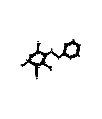 Cn1cc(Br)c(OCc2ccccc2)c(Br)c1=O